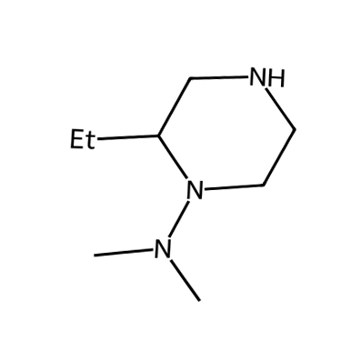 CCC1CNCCN1N(C)C